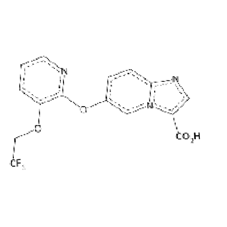 O=C(O)c1cnc2ccc(Oc3ncccc3OCC(F)(F)F)cn12